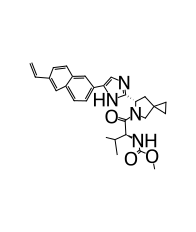 C=Cc1ccc2cc(-c3cnc([C@@H]4CC5(CC5)CN4C(=O)[C@@H](NC(=O)OC)C(C)C)[nH]3)ccc2c1